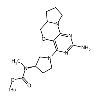 CN(C(=O)OC(C)(C)C)[C@@H]1CCN(c2nc(N)nc3c2OCC2CCCN32)C1